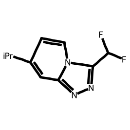 CC(C)c1ccn2c(C(F)F)nnc2c1